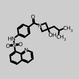 CC(C)CC1(O)CN(C(=O)c2ccc(NS(=O)(=O)c3cccc4cccnc34)cc2)C1